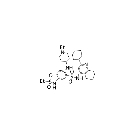 CCN1CCC(Nc2ccc(NS(=O)(=O)CC)cc2S(=O)(=O)Nc2cc(C3CCCCC3)nc3c2CCCC3)CC1